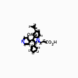 COc1cnccc1-c1c(-c2ccccc2)n(CCC(=O)O)c2ccc(C3CC3)cc12